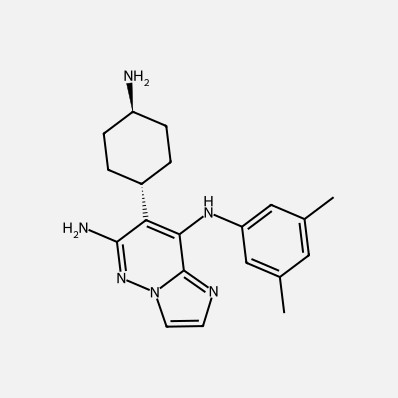 Cc1cc(C)cc(Nc2c3nccn3nc(N)c2[C@H]2CC[C@H](N)CC2)c1